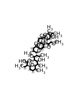 CCC(C(=O)[C@@H](C)[C@@H](O)[C@H](C)[C@@H]1O[C@@H](C(CC)C(=O)O)CC[C@@H]1C)[C@H]1O[C@]2(C=CC(NC(=O)COC)[C@]3(CC[C@@](C)([C@H]4CC[C@](O)(CC)[C@H](C)O4)O3)O2)[C@H](C)C[C@@H]1C